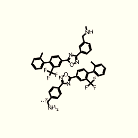 CNCc1cccc(-c2noc(-c3ccc(-c4ccccc4C)c(C(F)(F)F)c3)n2)c1.Cc1ccccc1-c1ccc(-c2nc(-c3ccc([C@@H](C)N)cc3)no2)cc1C(F)(F)F